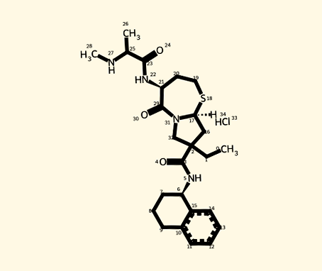 CCC1(C(=O)N[C@@H]2CCCc3ccccc32)C[C@@H]2SCC[C@H](NC(=O)C(C)NC)C(=O)N2C1.Cl